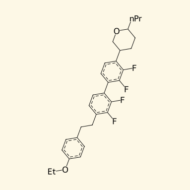 CCCC1CCC(c2ccc(-c3ccc(CCc4ccc(OCC)cc4)c(F)c3F)c(F)c2F)CO1